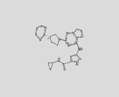 O=C(NC1CC1)c1cc(Nc2nc(N3CC[C@H](c4ccccn4)C3)nn3cccc23)n[nH]1